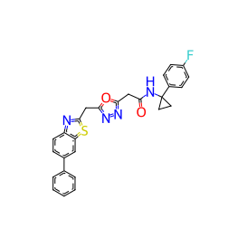 O=C(Cc1nnc(Cc2nc3ccc(-c4ccccc4)cc3s2)o1)NC1(c2ccc(F)cc2)CC1